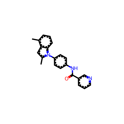 Cc1cccc2c1cc(C)n2-c1ccc(NC(=O)c2cccnc2)cc1